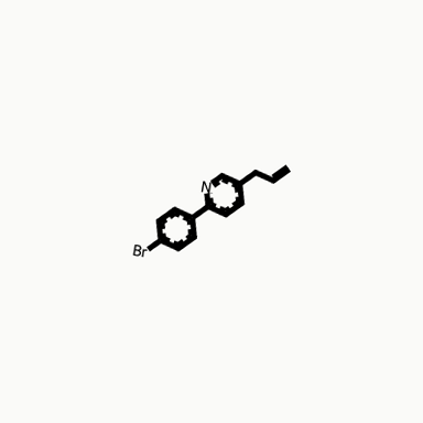 C=CCc1ccc(-c2ccc(Br)cc2)nc1